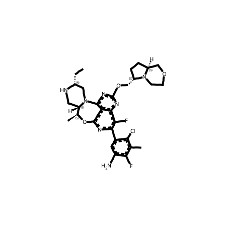 CC[C@@H]1CN2c3nc(OC[C@@H]4CC[C@H]5COCCN54)nc4c(F)c(-c5cc(N)c(F)c(C)c5Cl)nc(c34)O[C@@H](C)[C@@H]2CN1